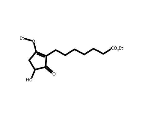 CCOC(=O)CCCCCCC1=C(OCC)CC(O)C1=O